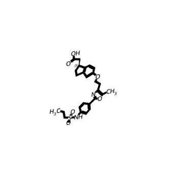 CCCS(=O)(=O)Nc1ccc(-c2nc(CCOc3ccc4c(c3)CC[C@H]4CC(=O)O)c(C)o2)cc1